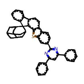 c1ccc(-c2cc(-c3ccccc3)nc(-c3ccc4c(c3)sc3c5c(ccc34)-c3ccccc3C53C4CC5CC(C4)CC3C5)n2)cc1